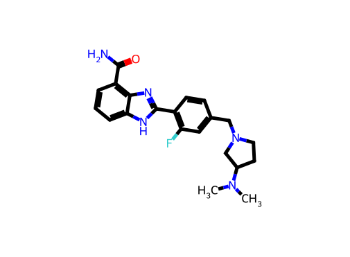 CN(C)C1CCN(Cc2ccc(-c3nc4c(C(N)=O)cccc4[nH]3)c(F)c2)C1